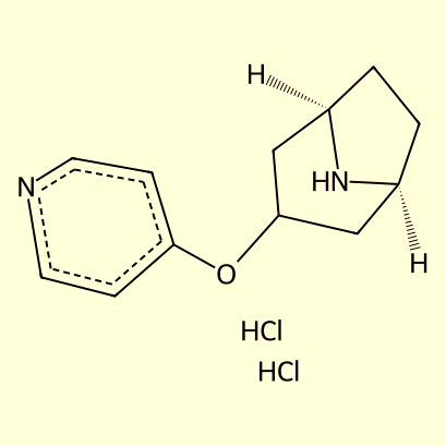 Cl.Cl.c1cc(OC2C[C@H]3CC[C@@H](C2)N3)ccn1